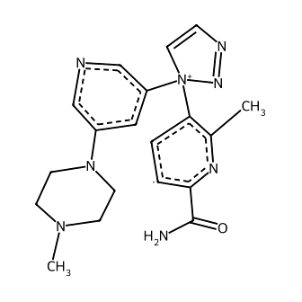 Cc1nc(C(N)=O)[c]cc1[N+]1(c2cncc(N3CCN(C)CC3)c2)C=CN=N1